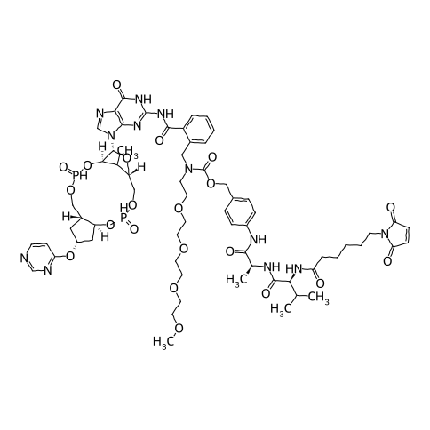 COCCOCCOCCOCCN(Cc1ccccc1C(=O)Nc1nc2c(ncn2[C@@H]2O[C@@H]3CO[PH](=O)O[C@H]4C[C@H](Oc5ccncn5)C[C@@H]4CO[PH](=O)O[C@@H]2C3C)c(=O)[nH]1)C(=O)OCc1ccc(NC(=O)[C@H](C)NC(=O)[C@@H](NC(=O)CCCCCN2C(=O)C=CC2=O)C(C)C)cc1